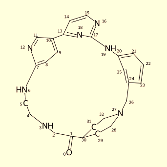 O=C1CNCCNc2ccc(cn2)-c2ccnc(n2)Nc2cccc(c2)CN2CCC1CC2